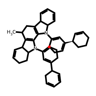 CC1CC2=C(C3=C1C1C=CCCC1N3C1=CCCC(C3C=CC=CC3)=C1)N(C1=CC([C@H]3C=CCCC3)=CCC1)C1C=CC=CC21